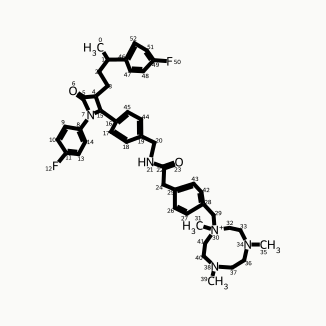 CC(CCC1C(=O)N(c2ccc(F)cc2)C1c1ccc(CNC(=O)Cc2ccc(C[N+]3(C)CCN(C)CCN(C)CC3)cc2)cc1)c1ccc(F)cc1